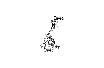 COc1cccc(-c2cn3cc(CCCCN4CCC(OC)CC4)cc3c(=O)n2CC(=O)NC(C)C)c1